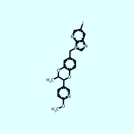 COc1ccc(C2Oc3ccc(Cn4cnc5cc(I)cnc54)cc3OC2C)cn1